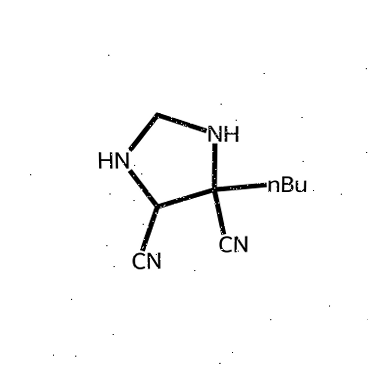 CCCCC1(C#N)NCNC1C#N